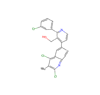 CC(C)(C)c1c(Cl)nc2ccc(-c3ccnc(-c4cccc(Cl)c4)c3CO)cc2c1Cl